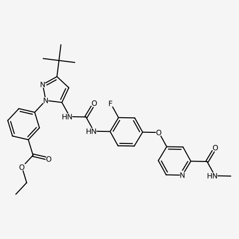 CCOC(=O)c1cccc(-n2nc(C(C)(C)C)cc2NC(=O)Nc2ccc(Oc3ccnc(C(=O)NC)c3)cc2F)c1